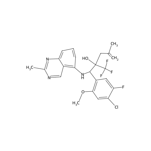 C=C(C)CC(O)(C(Nc1cccc2nc(C)ncc12)c1cc(F)c(Cl)cc1OC)C(F)(F)F